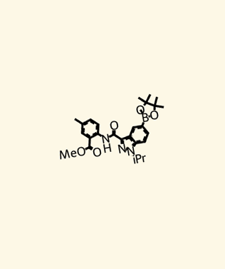 COC(=O)c1cc(C)ccc1NC(=O)c1nn(C(C)C)c2ccc(B3OC(C)(C)C(C)(C)O3)cc12